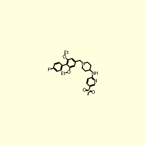 CCOc1cc(CN2CCC(Nc3ccc(S(C)(=O)=O)cn3)CC2)cc(OCC)c1-c1ccc(F)cc1